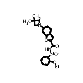 CCOc1ccccc1[S+]([O-])NC(=O)c1cc2ccc(N3CC(C)(C)C3)cc2o1